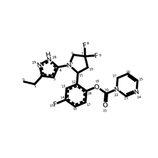 CCc1cc(N2CC(F)(F)CC2c2cc(F)ccc2OC(=O)N2C=NC=CC2)[nH]n1